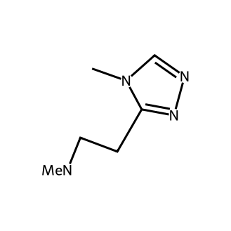 CNCCc1nncn1C